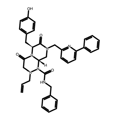 C=CCN1CC(=O)N2[C@@H](Cc3ccc(O)cc3)C(=O)N(Cc3cccc(-c4ccccc4)n3)C[C@@H]2N1C(=O)NCc1ccccc1